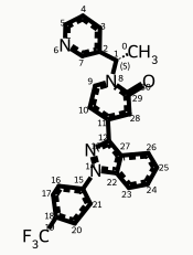 C[C@@H](c1cccnc1)n1ccc(-c2nn(-c3ccc(C(F)(F)F)cc3)c3ccccc23)cc1=O